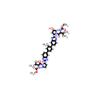 COC(=O)N[C@H](C(=O)N1CCC[C@H]1c1nc2cc(-c3ccc(-c4ccc5[nH]c([C@@H]6C[C@H](O)CN6C(=O)[C@@H](NC(=O)OC)C(C)C)nc5c4)c(C)c3)ccc2[nH]1)C(C)C